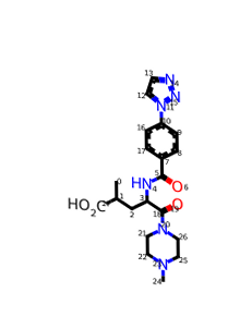 CC(CC(NC(=O)c1ccc(-n2ccnn2)cc1)C(=O)N1CCN(C)CC1)C(=O)O